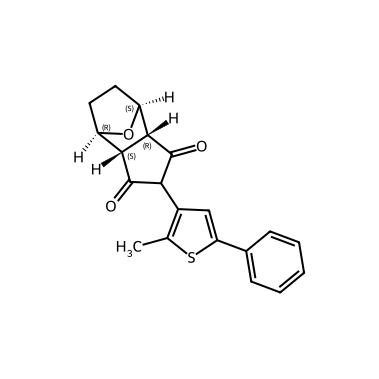 Cc1sc(-c2ccccc2)cc1C1C(=O)[C@@H]2[C@H](C1=O)[C@H]1CC[C@@H]2O1